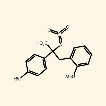 COc1ccccc1CC(N=S(=O)=O)(C(=O)O)c1ccc(C(C)(C)C)cc1